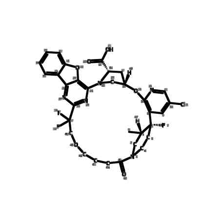 C[C@H]1CN2CC[C@]1(F)c1cc(Cl)cnc1O[C@H]1C[C@@H](C(=O)O)N(C1)c1nc(nc3c1oc1ccccc13)C(F)(F)COCCCC2=O